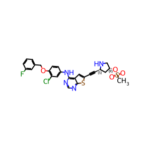 CS(=O)(=O)O[C@H]1CN[C@H](C#Cc2cc3c(Nc4ccc(OCc5cccc(F)c5)c(Cl)c4)ncnc3s2)C1